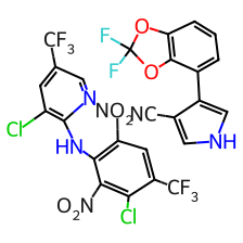 N#Cc1c[nH]cc1-c1cccc2c1OC(F)(F)O2.O=[N+]([O-])c1cc(C(F)(F)F)c(Cl)c([N+](=O)[O-])c1Nc1ncc(C(F)(F)F)cc1Cl